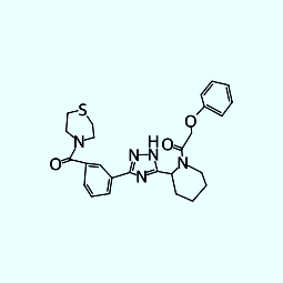 O=C(c1cccc(-c2n[nH]c(C3CCCCN3C(=O)COc3ccccc3)n2)c1)N1CCSCC1